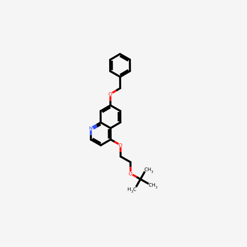 CC(C)(C)OCCOc1ccnc2cc(OCc3ccccc3)ccc12